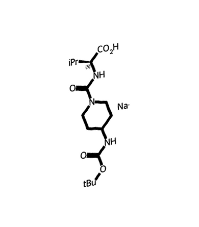 CC(C)[C@H](NC(=O)N1CCC(NC(=O)OC(C)(C)C)CC1)C(=O)O.[Na]